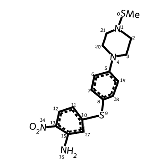 CSN1CCN(c2ccc(Sc3ccc([N+](=O)[O-])c(N)c3)cc2)CC1